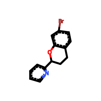 Brc1ccc2c(c1)OC(c1ccccn1)CC2